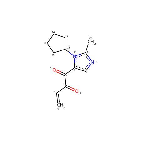 C=CC(=O)C(=O)c1cnc(C)n1C1CCCC1